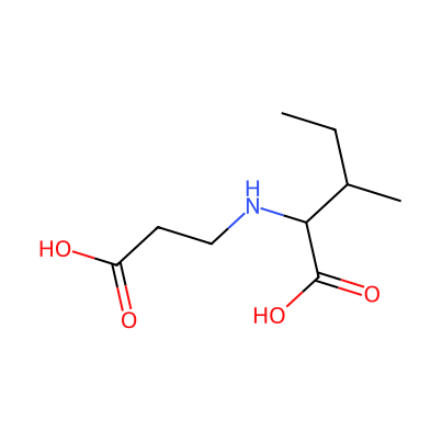 CCC(C)C(NCCC(=O)O)C(=O)O